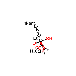 C=C(C)C(=O)OCC(CO)(COC(=O)CC)COc1c(CCCO)cc(-c2ccc(-c3ccc(C4CCC(CCCCC)CC4)cc3)cc2CC)cc1CCCO